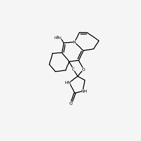 CCCCC1=C2CCCCC23CC2(CNC(=O)N2)OC3=C2CCC=CN12